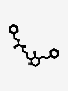 O=C(NCCCC1NCCN(CCc2ccccc2)C1=O)OCc1ccccc1